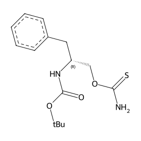 CC(C)(C)OC(=O)N[C@@H](COC(N)=S)Cc1ccccc1